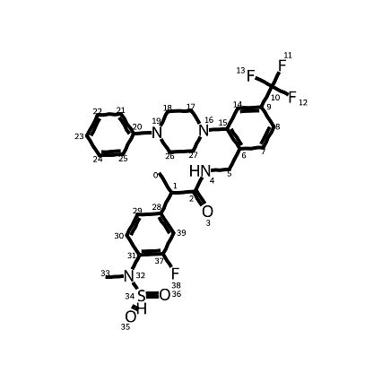 CC(C(=O)NCc1ccc(C(F)(F)F)cc1N1CCN(c2ccccc2)CC1)c1ccc(N(C)[SH](=O)=O)c(F)c1